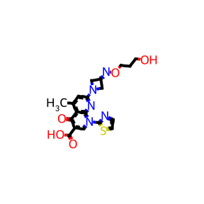 Cc1cc(N2CC(=NOCCCO)C2)nc2c1c(=O)c(C(=O)O)cn2-c1nccs1